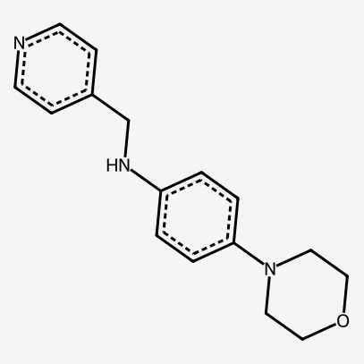 c1cc(CNc2ccc(N3CCOCC3)cc2)ccn1